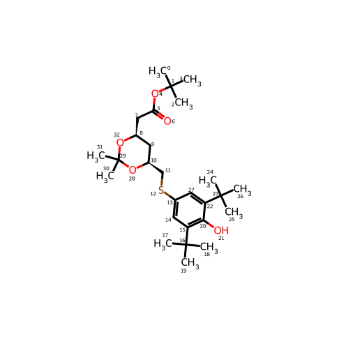 CC(C)(C)OC(=O)C[C@H]1C[C@@H](CSc2cc(C(C)(C)C)c(O)c(C(C)(C)C)c2)OC(C)(C)O1